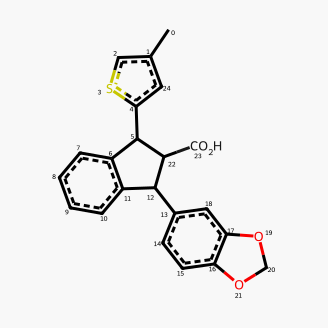 Cc1csc(C2c3ccccc3C(c3ccc4c(c3)OCO4)C2C(=O)O)c1